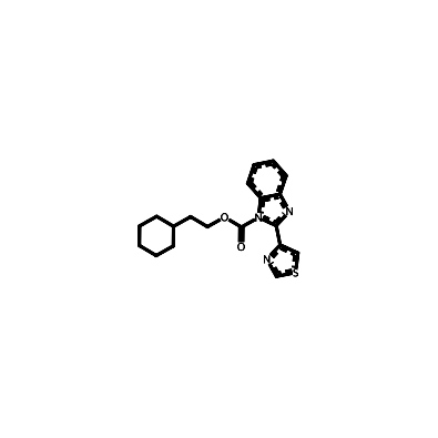 O=C(OCCC1CCCCC1)n1c(-c2cscn2)nc2ccccc21